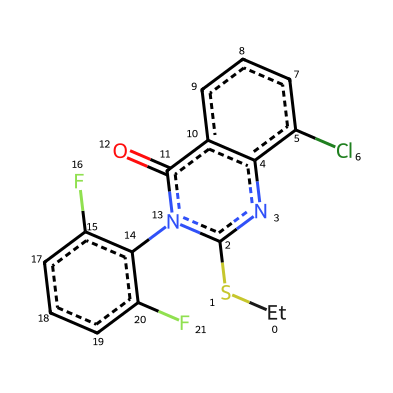 CCSc1nc2c(Cl)cccc2c(=O)n1-c1c(F)cccc1F